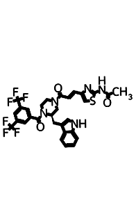 CC(=O)Nc1nc(C=CC(=O)N2CCN(C(=O)c3cc(C(F)(F)F)cc(C(F)(F)F)c3)[C@H](Cc3c[nH]c4ccccc34)C2)cs1